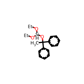 CCO[SiH](OCC)OC(C)(c1ccccc1)c1ccccc1